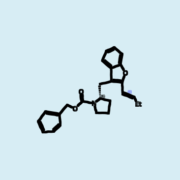 CC/C=C/c1oc2ccccc2c1C[C@@H]1CCCN1C(=O)OCc1ccccc1